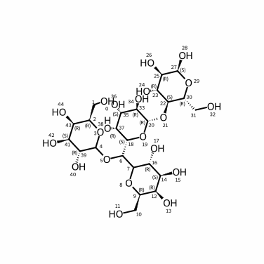 OC[C@H]1OC(OC(C2O[C@H](CO)[C@H](O)[C@H](O)[C@H]2O)[C@H]2O[C@@H](O[C@H]3[C@H](O)[C@@H](O)[C@@H](O)O[C@@H]3CO)[C@H](O)[C@@H](O)[C@H]2O)[C@H](O)[C@@H](O)[C@H]1O